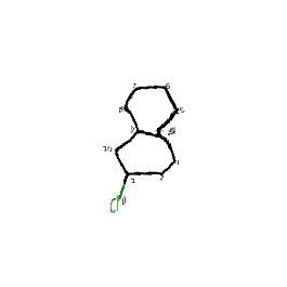 ClC1CCC2[CH]CCCC2C1